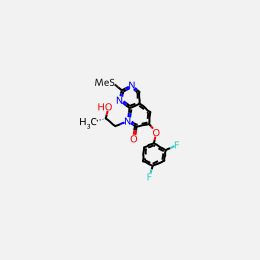 CSc1ncc2cc(Oc3ccc(F)cc3F)c(=O)n(C[C@H](C)O)c2n1